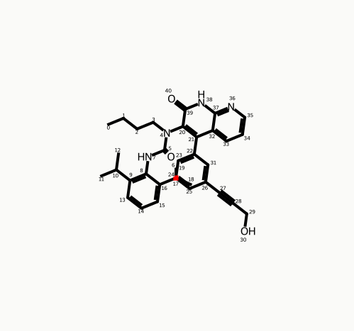 CCCCN(C(=O)Nc1c(C(C)C)cccc1C(C)C)c1c(-c2cccc(C#CCO)c2)c2cccnc2[nH]c1=O